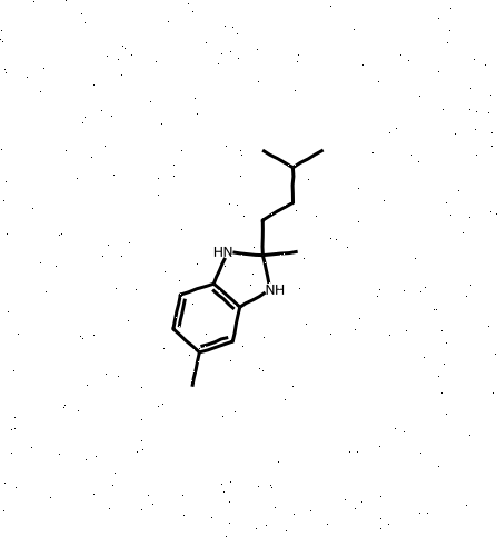 Cc1ccc2c(c1)NC(C)(CCC(C)C)N2